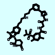 Cc1cc(C)c(S(=O)(=O)C(C)C)cc1C(=O)NCC(=O)Nc1nc(-c2cccc(CCCNCCCc3ccc4c(c3)n(C)c(=O)n4C3CCC(=O)NC3=O)c2)cs1